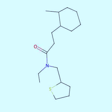 CCN(CC1CCCS1)C(=O)CCC1CCCCC1C